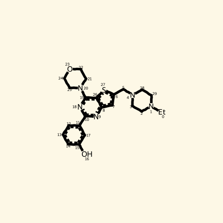 CCN1CCN(Cc2cc3nc(-c4cccc(O)c4)nc(N4CCOCC4)c3s2)CC1